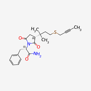 CC#CCSCCC(C)(C)[C@H]1CC(=O)N([C@@H](Cc2ccccc2)C(N)=O)C1=O